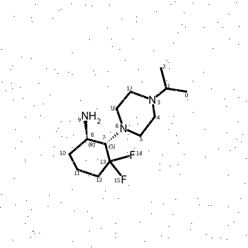 CC(C)N1CCN([C@H]2[C@H](N)CCCC2(F)F)CC1